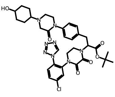 CC(C)(C)OC(=O)C(Cc1ccc(N2CCN(C3CCC(O)CC3)CC2=O)cc1)N1CCN(c2cc(Cl)ccc2-n2cnnn2)C(=O)C1=O